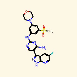 CS(=O)(=O)c1cc(Nc2ncc(-c3n[nH]c4ncc(F)cc34)c(N)n2)cc(N2CCOCC2)c1